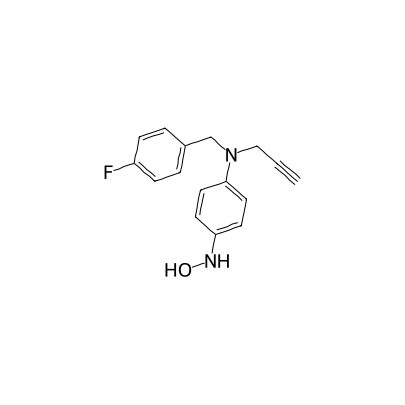 C#CCN(Cc1ccc(F)cc1)c1ccc(NO)cc1